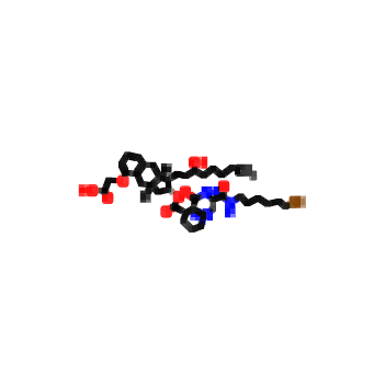 CCCCC[C@H](O)CC[C@@H]1[C@H]2Cc3cccc(OCC(=O)O)c3C[C@H]2C[C@H]1OC(=O)[C@@H]1CCCC[C@@H]1C(=O)NC(CN)C(=O)NCCCCCCS